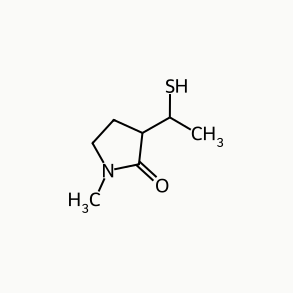 CC(S)C1CCN(C)C1=O